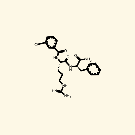 N=C(N)NCCC[C@H](NC(=O)c1cccc(Cl)c1)C(=O)N[C@H](Cc1ccccc1)C(N)=O